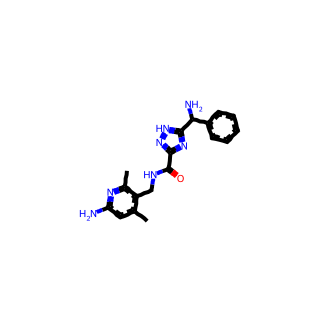 Cc1cc(N)nc(C)c1CNC(=O)c1n[nH]c(C(N)c2ccccc2)n1